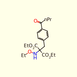 CCCC(=O)c1ccc(CC(NOCC)(C(=O)OCC)C(=O)OCC)cc1